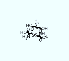 NC(CCC(=O)O)C(=O)O.NC(CSSCC(N)C(=O)O)C(=O)O